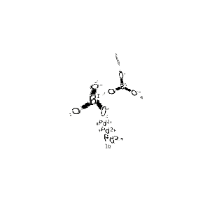 [O-]B([O-])[O-].[O-]B([O-])[O-].[Pd+2].[Pd+2].[Pd+2]